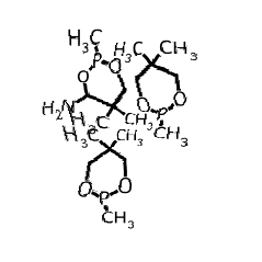 CP1OCC(C)(C)C(N)O1.CP1OCC(C)(C)CO1.CP1OCC(C)(C)CO1